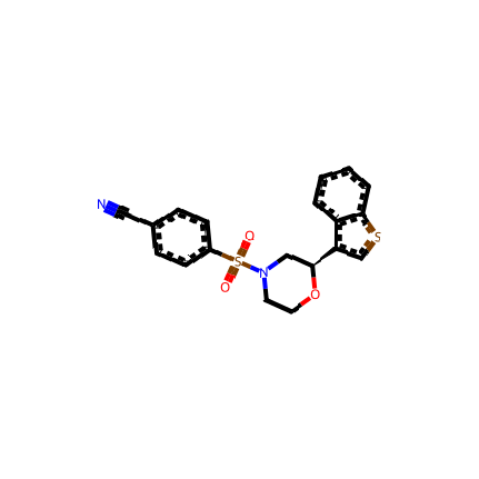 N#Cc1ccc(S(=O)(=O)N2CCO[C@H](c3csc4ccccc34)C2)cc1